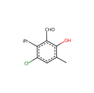 Cc1cc(Cl)c(C(C)C)c(C=O)c1O